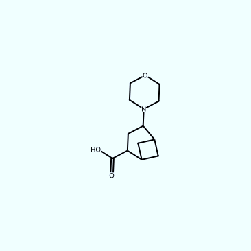 O=C(O)C1CC(N2CCOCC2)C2CC1C2